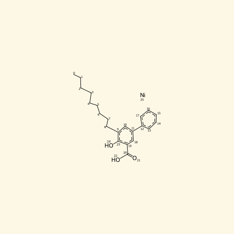 CCCCCCCCCc1cc(-c2ccccc2)cc(C(=O)O)c1O.[Ni]